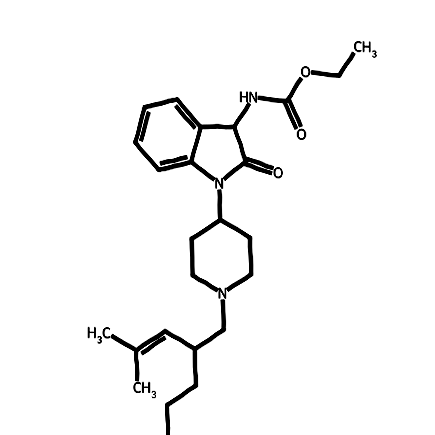 CCCC(C=C(C)C)CN1CCC(N2C(=O)C(NC(=O)OCC)c3ccccc32)CC1